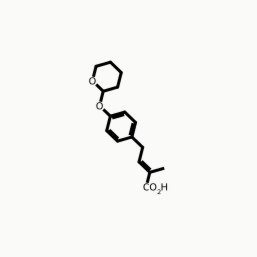 CC(=CCc1ccc(OC2CCCCO2)cc1)C(=O)O